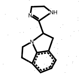 c1cc2c3c(c1)CC(C1=NCCN1)N3CC2